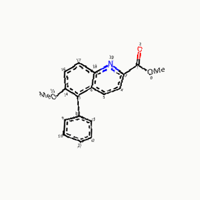 COC(=O)c1ccc2c(-c3ccccc3)c(OC)ccc2n1